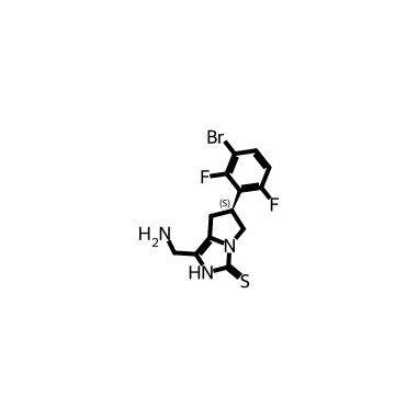 NCc1[nH]c(=S)n2c1C[C@@H](c1c(F)ccc(Br)c1F)C2